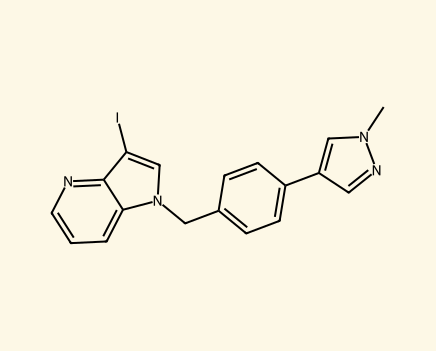 Cn1cc(-c2ccc(Cn3cc(I)c4ncccc43)cc2)cn1